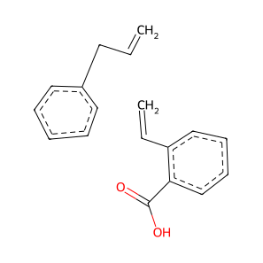 C=CCc1ccccc1.C=Cc1ccccc1C(=O)O